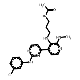 CNc1nccc(-c2ccnc(Nc3cccc(Cl)c3)n2)c1NCCCNC(C)=O